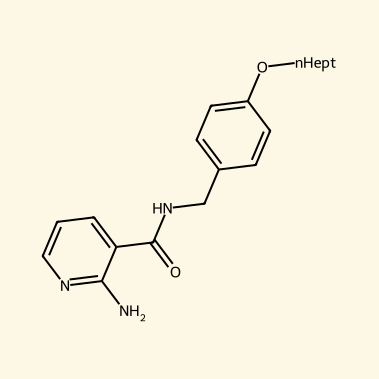 CCCCCCCOc1ccc(CNC(=O)c2cccnc2N)cc1